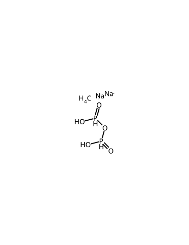 C.O=[PH](O)O[PH](=O)O.[Na].[Na]